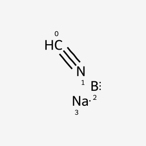 C#N.[B].[Na]